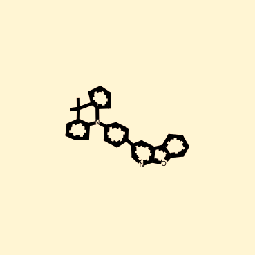 CC1(C)c2ccccc2N(c2ccc(-c3cnc4oc5ccccc5c4c3)cc2)c2ccccc21